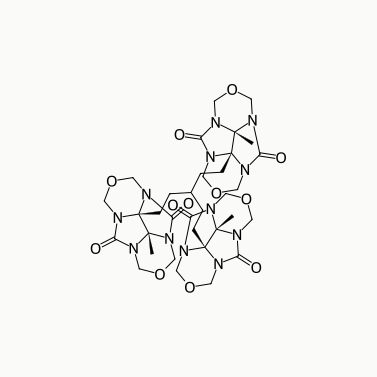 C[C@]12N3COCN1C(=O)N1COCN(C3=O)[C@]12CCC(CC[C@]12N3COCN1C(=O)N1COCN(C3=O)[C@]12C)CC[C@]12N3COCN1C(=O)N1COCN(C3=O)[C@]12C